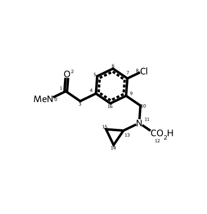 CNC(=O)Cc1ccc(Cl)c(CN(C(=O)O)C2CC2)c1